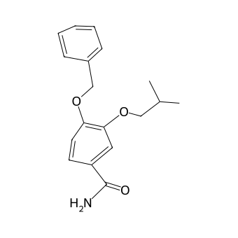 CC(C)COc1cc(C(N)=O)ccc1OCc1ccccc1